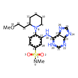 CNS(=O)(=O)c1ccc(N2CCCCC2CCOC)c(Nc2[nH]cnc3ncnc2-3)c1